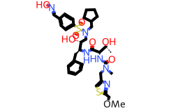 COCc1nc(CN(C)C(=O)N[C@H](C(=O)N[C@@H](Cc2ccccc2)[C@H](O)CN(CC2CCCC2)S(=O)(=O)c2ccc(/C=N/O)cc2)[C@@H](C)O)cs1